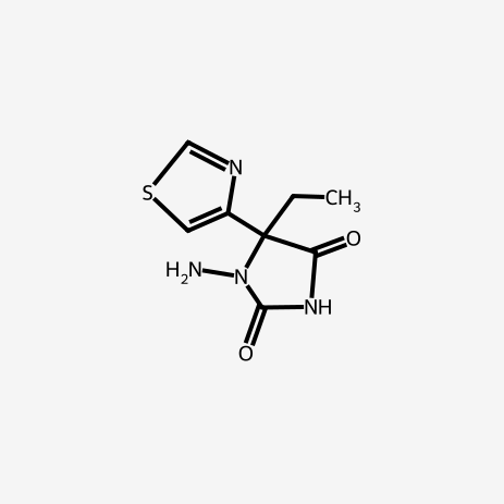 CCC1(c2cscn2)C(=O)NC(=O)N1N